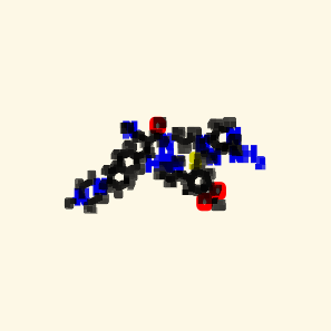 CN1CCN(c2ccc3cc(/C=C(\C#N)C(=O)NCCCn4c(Sc5cc6c(cc5-c5cc[nH]n5)OCO6)nc5c(N)nccc54)ccc3c2)CC1